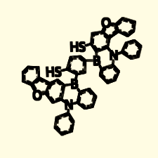 Sc1ccc(B2c3ccccc3N(c3ccccc3)c3c2c(S)cc2oc4ccccc4c32)cc1B1c2ccccc2N(c2ccccc2)c2cc3oc4ccccc4c3cc21